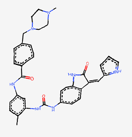 Cc1ccc(NC(=O)c2ccc(CN3CCN(C)CC3)cc2)cc1NC(=O)Nc1ccc2c(c1)NC(=O)C2=Cc1ccc[nH]1